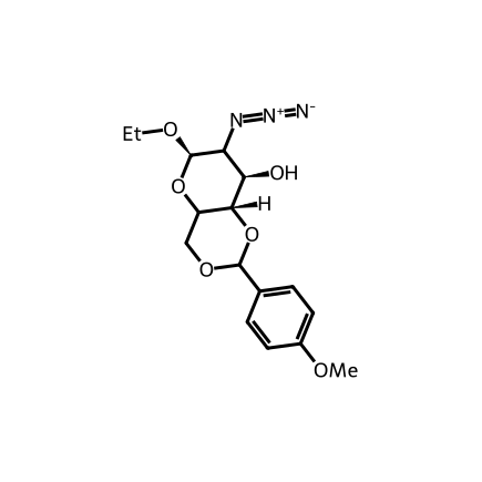 CCO[C@@H]1OC2COC(c3ccc(OC)cc3)O[C@H]2[C@H](O)C1N=[N+]=[N-]